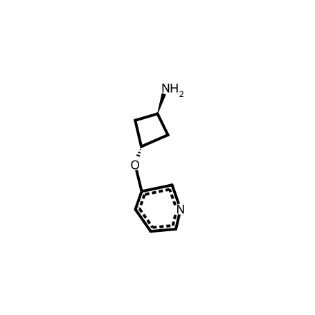 N[C@H]1C[C@H](Oc2cccnc2)C1